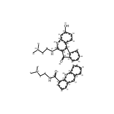 CN(C)CCNC(=O)c1cccc2cc3ccccc3nc12.CN(C)CCNc1nc2cc(O)ccc2c2c1C(=O)c1ccccc1-2